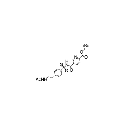 CCC(C)COC(=O)c1ccc(C(=O)NS(=O)(=O)c2ccc(CCNC(C)=O)cc2)cn1